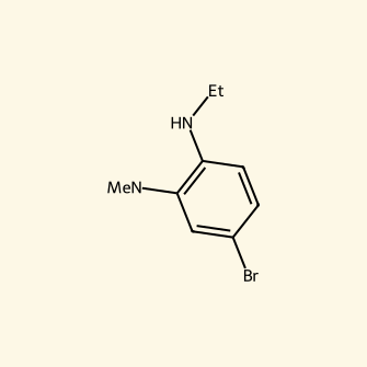 CCNc1ccc(Br)cc1NC